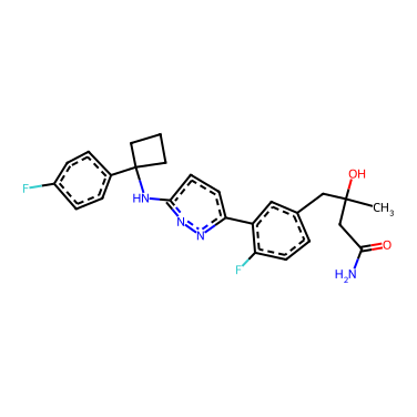 CC(O)(CC(N)=O)Cc1ccc(F)c(-c2ccc(NC3(c4ccc(F)cc4)CCC3)nn2)c1